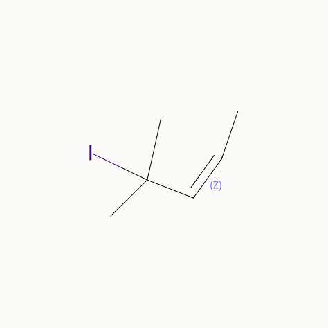 C/C=C\C(C)(C)I